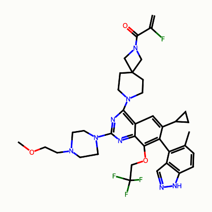 C=C(F)C(=O)N1CC2(CCN(c3nc(N4CCN(CCOC)CC4)nc4c(OCC(F)(F)F)c(-c5c(C)ccc6[nH]ncc56)c(C5CC5)cc34)CC2)C1